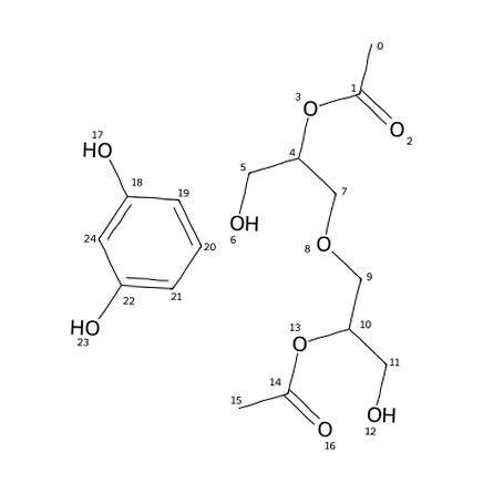 CC(=O)OC(CO)COCC(CO)OC(C)=O.Oc1cccc(O)c1